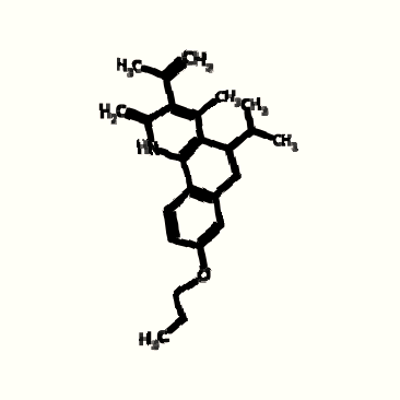 C=C(C)C1=C(C)C2=C(NC1=C)c1ccc(OCCC)cc1CC2C(C)C